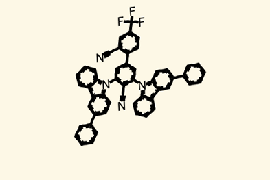 N#Cc1cc(C(F)(F)F)ccc1-c1cc(-n2c3ccccc3c3cc(-c4ccccc4)ccc32)c(C#N)c(-n2c3ccccc3c3cc(-c4ccccc4)ccc32)c1